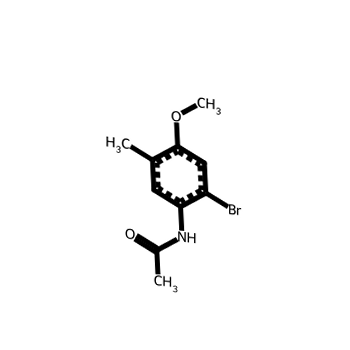 COc1cc(Br)c(NC(C)=O)cc1C